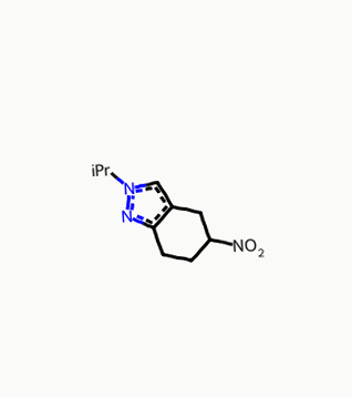 CC(C)n1cc2c(n1)CCC([N+](=O)[O-])C2